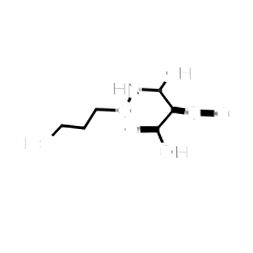 CCCCONC(C)C(=C=O)C(=O)O